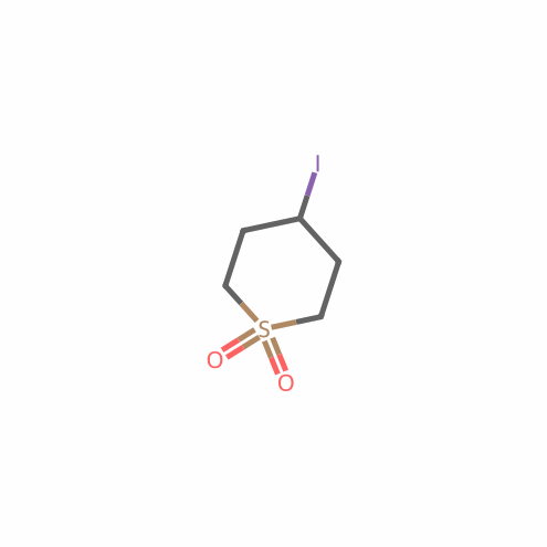 O=S1(=O)CCC(I)CC1